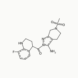 CS(=O)(=O)N1CCc2c(nn(C(=O)C3CCNc4c(F)cccc43)c2N)C1